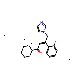 O=C(/C=C(/Cn1ccnc1)c1ccccc1I)C1CCCCC1